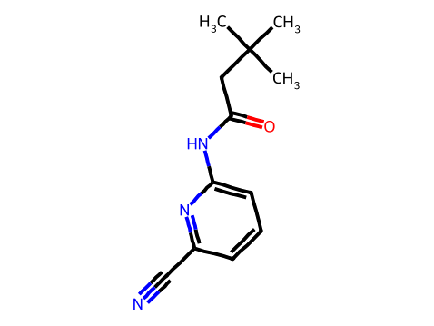 CC(C)(C)CC(=O)Nc1cccc(C#N)n1